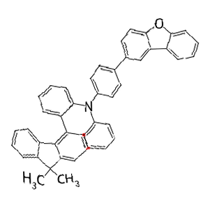 CC1(C)c2ccccc2-c2c(-c3ccccc3N(c3ccccc3)c3ccc(-c4ccc5oc6ccccc6c5c4)cc3)cccc21